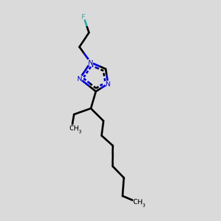 CCCCCCCC(CC)c1ncn(CCF)n1